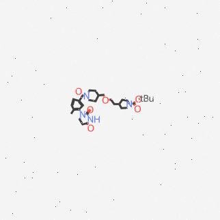 Cc1ccc(C(=O)N2CCC(COCCC3CCN(C(=O)OC(C)(C)C)CC3)CC2)cc1N1CCC(=O)NC1=O